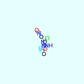 FC(F)(F)C(Oc1nc2nc(-c3ccc(N4CCOCC4)cc3)c(Cl)cc2[nH]1)c1ccccc1